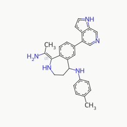 C/C(N)=C1/NCCC(Nc2ccc(C)cc2)c2cc(-c3cncc4[nH]ccc34)ccc21